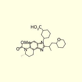 COC(=O)N1c2ccc3c(nc(C(C)CC4CCCCO4)n3C3CCCC(C(=O)O)C3)c2CC[C@@H]1C